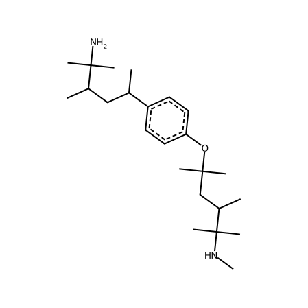 CNC(C)(C)C(C)CC(C)(C)Oc1ccc(C(C)CC(C)C(C)(C)N)cc1